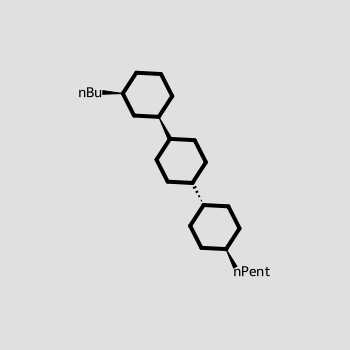 CCCCC[C@H]1CC[C@H](C2CCC([C@@H]3CCC[C@H](CCCC)C3)CC2)CC1